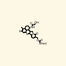 CCCCCC(=O)OCc1ccc2n(c1=O)Cc1c-2nc2cc(F)c(C)c3c2c1[C@@H](NC(=O)CO)CC3